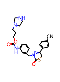 N#Cc1ccc(C2=NN(Cc3cccc(NC(=O)OCCCN4CCNCC4)c3)C(=O)SC2)cc1